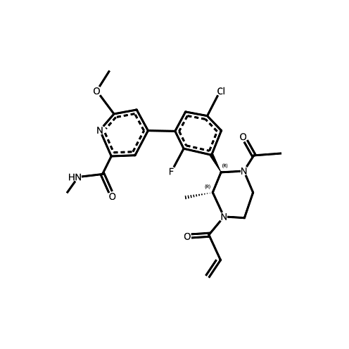 C=CC(=O)N1CCN(C(C)=O)[C@H](c2cc(Cl)cc(-c3cc(OC)nc(C(=O)NC)c3)c2F)[C@H]1C